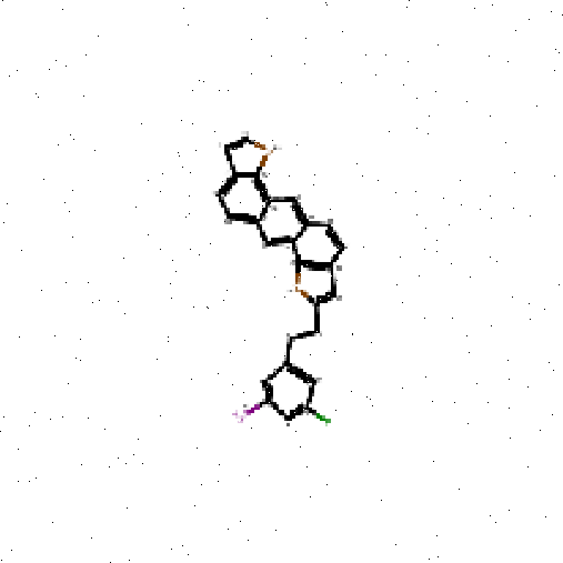 Fc1cc(P)cc(CCc2cc3ccc4cc5c(ccc6ccsc65)cc4c3s2)c1